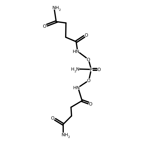 NC(=O)CCC(=O)NOP(N)(=O)ONC(=O)CCC(N)=O